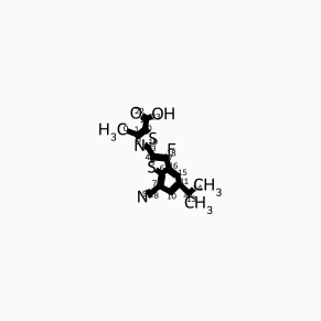 Cc1nc(-c2sc3c(C#N)cc(C(C)C)cc3c2F)sc1C(=O)O